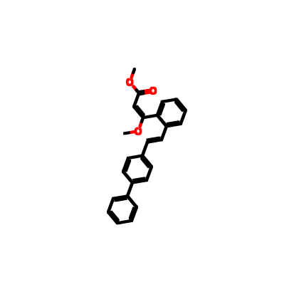 COC(=O)/C=C(/OC)c1ccccc1/C=C/c1ccc(-c2ccccc2)cc1